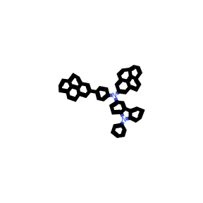 c1ccc(-n2c3ccccc3c3cc(N(c4ccc(-c5cc6ccc7cccc8ccc(c5)c6c78)cc4)c4cc5ccc6cccc7ccc(c4)c5c67)ccc32)cc1